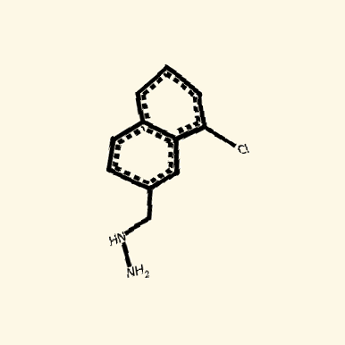 NNCc1ccc2cccc(Cl)c2c1